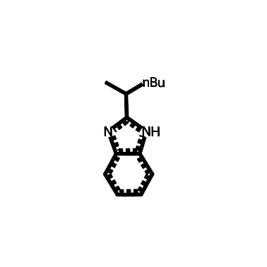 [CH2]CCCC(C)c1nc2ccccc2[nH]1